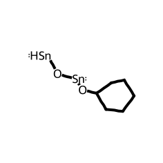 [SnH][O][Sn][O]C1CCCCC1